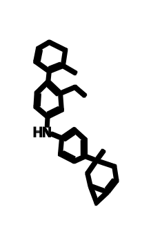 CCc1cc(Nc2ccc(C3(C)CC=C4CC4C3)cc2)ccc1C1=C(C)CCC=C1